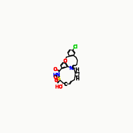 C[C@@H]1[C@@H](O)C/C=C/C[C@@H]2CC[C@H]2CN2CCCCc3cc(Cl)ccc3COc3ccc(cc32)C(=O)NS1(=O)=O